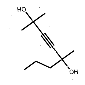 CCCC(C)(O)C#CC(C)(C)O